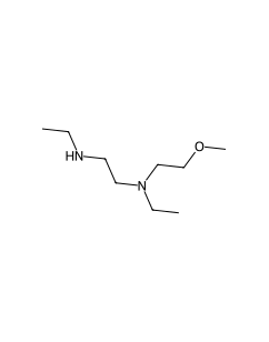 CCNCCN(CC)CCOC